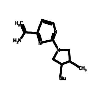 C=C(N)c1ccnc(N2CC(C)C(C(C)(C)C)C2)n1